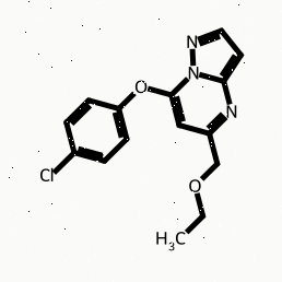 CCOCc1cc(Oc2ccc(Cl)cc2)n2nccc2n1